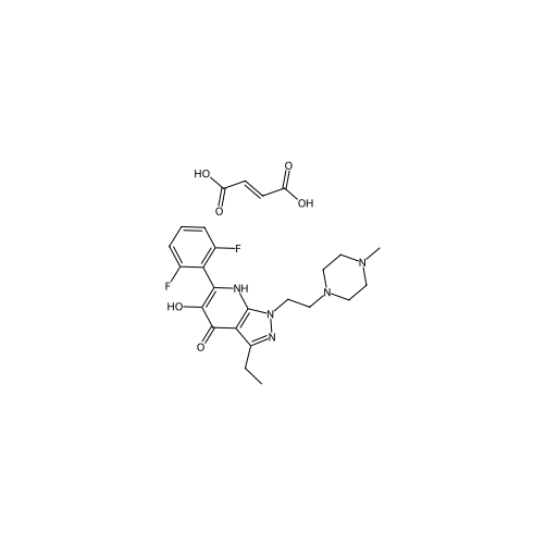 CCc1nn(CCN2CCN(C)CC2)c2[nH]c(-c3c(F)cccc3F)c(O)c(=O)c12.O=C(O)/C=C/C(=O)O